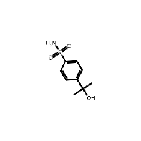 CC(C)(O)c1ccc(S(N)(=O)=O)cc1